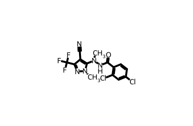 CN(NC(=O)c1ccc(Cl)cc1Cl)c1c(C#N)c(C(F)(F)F)nn1C